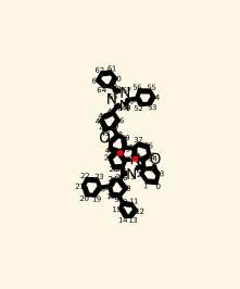 C1=CCC2(c3nc(-c4cc(-c5ccccc5)cc(-c5ccccc5)c4)c4ccccc4n3)C(=C1)Oc1ccc(-c3ccc4oc5ccc(-c6nc(-c7ccccc7)nc(-c7ccccc7)n6)cc5c4c3)cc12